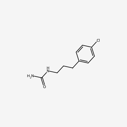 NC(=O)NCC[CH]c1ccc(Cl)cc1